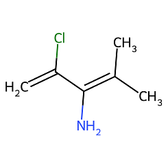 C=C(Cl)C(N)=C(C)C